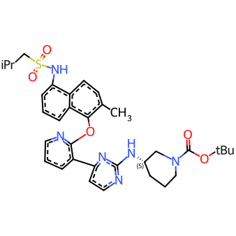 Cc1ccc2c(NS(=O)(=O)CC(C)C)cccc2c1Oc1ncccc1-c1ccnc(N[C@H]2CCCN(C(=O)OC(C)(C)C)C2)n1